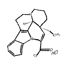 CC[C@@]12C=C(C(=O)Cl)n3c4c(c5ccccc53)CCN(CCC1)[C@H]42.Cl